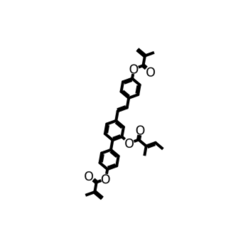 C=C(C)C(=O)Oc1ccc(/C=C/c2ccc(-c3ccc(OC(=O)C(=C)C)cc3)c(OC(=O)/C(C)=C/C)c2)cc1